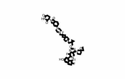 CCc1c(F)ccc2cc(O)cc(-c3ncc4c(N5CCCC6(CCO6)C5)nc(OCC5(CN6CCC7(CC6)CC(F)(CN6CCN(c8ccc9c(c8)CN([C@H]8CCC(=O)NC8=O)C9=O)CC6)C7)CC5)nc4c3F)c12